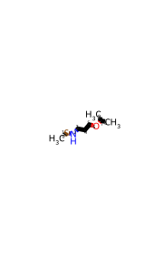 CSNCCCOC(C)C